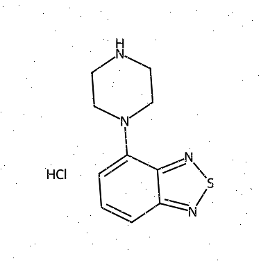 Cl.c1cc(N2CCNCC2)c2nsnc2c1